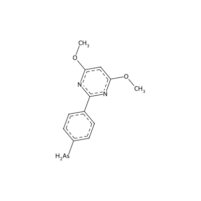 COc1cc(OC)nc(-c2ccc([AsH2])cc2)n1